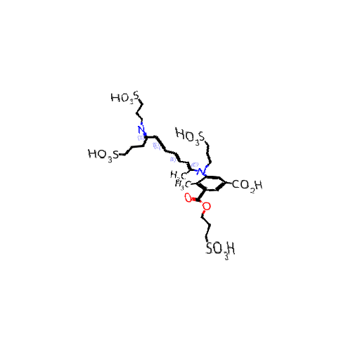 C\C(=C/C=C/C=C/C(CCCS(=O)(=O)O)=N\CCCS(=O)(=O)O)N(CCCS(=O)(=O)O)c1cc(C(=O)O)cc(C(=O)OCCCS(=O)(=O)O)c1C